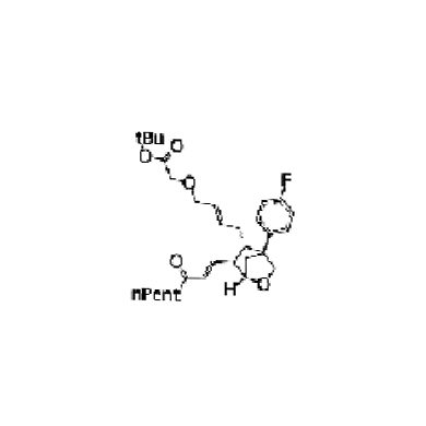 CCCCCC(=O)/C=C/[C@@H]1[C@@H]2C[C@@](c3ccc(F)cc3)(CO2)[C@H]1C/C=C/COCC(=O)OC(C)(C)C